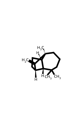 C=C1[C@H]2CC[C@@H]3[C@@H]2C(C)(C)CCC[C@]13C